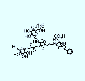 O.O.O=C(O)CC[C@H](NC(=O)OCc1ccccc1)C(=O)NCCCC(=O)N[C@@H](CCC(=O)NCC[C@H]1O[C@H](CO)[C@@H](O)[C@H](O)[C@@H]1O)C(=O)NCC[C@H]1O[C@H](CO)[C@@H](O)[C@H](O)[C@@H]1O